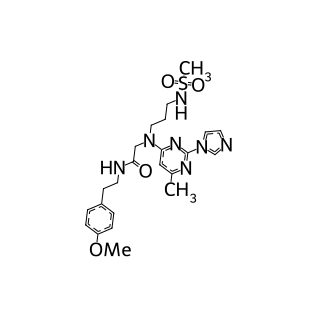 COc1ccc(CCNC(=O)CN(CCCNS(C)(=O)=O)c2cc(C)nc(-n3ccnc3)n2)cc1